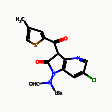 Cc1csc(C(=O)C2C(=O)N(N(C=O)C(C)(C)C)c3cc(Cl)cnc32)c1